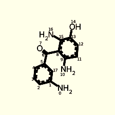 Nc1cccc(C(=O)c2c(N)ccc(O)c2N)c1